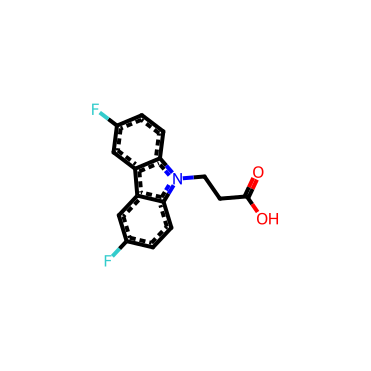 O=C(O)CCn1c2ccc(F)cc2c2cc(F)ccc21